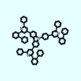 c1ccc(-c2cc(-c3ccc(-n4c5ccc(-c6cc(-c7ccccc7)nc(-c7ccccc7-c7ccccc7)c6)cc5c5cc(-c6cc(-c7ccccc7)nc(-c7ccccc7-c7ccccc7)c6)ccc54)cc3)cc(-c3ccccc3-c3ccccc3)n2)cc1